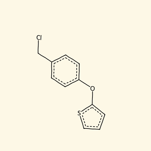 ClCc1ccc(Oc2cccs2)cc1